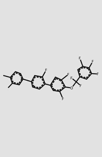 Cc1ccc(-c2ccc(-c3cc(F)c(OC(F)(F)c4cc(F)c(F)c(F)c4)c(F)c3)c(F)c2)cc1C